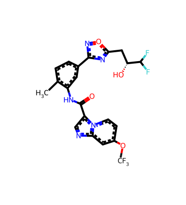 Cc1ccc(-c2noc(C[C@@H](O)C(F)F)n2)cc1NC(=O)c1cnc2cc(OC(F)(F)F)ccn12